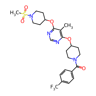 Cc1c(OC2CCN(C(=O)c3ccc(C(F)(F)F)cc3)CC2)ncnc1OC1CCN(S(C)(=O)=O)CC1